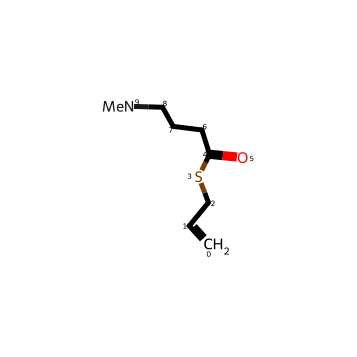 C=CCSC(=O)CCCNC